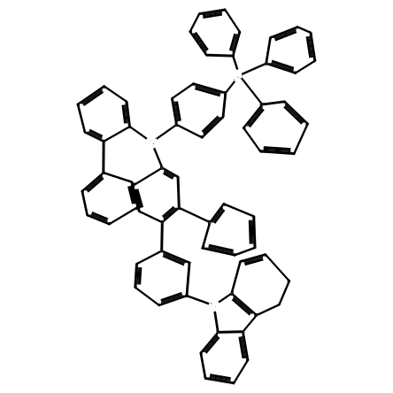 C1=Cc2c(c3ccccc3n2-c2cccc(-c3ccc(N(c4ccc([Si](c5ccccc5)(c5ccccc5)c5ccccc5)cc4)c4ccccc4-c4ccccc4)cc3-c3ccccc3)c2)CC1